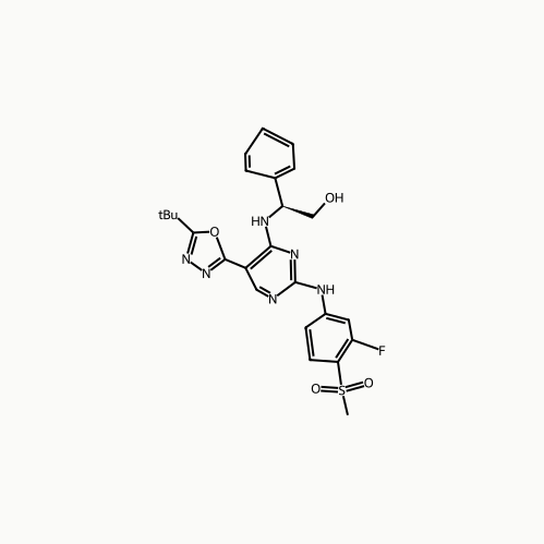 CC(C)(C)c1nnc(-c2cnc(Nc3ccc(S(C)(=O)=O)c(F)c3)nc2N[C@H](CO)c2ccccc2)o1